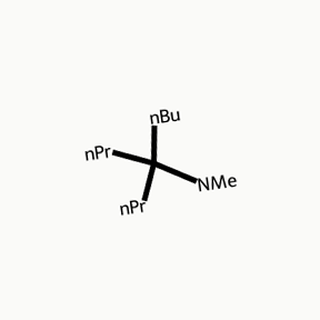 CCCCC(CCC)(CCC)NC